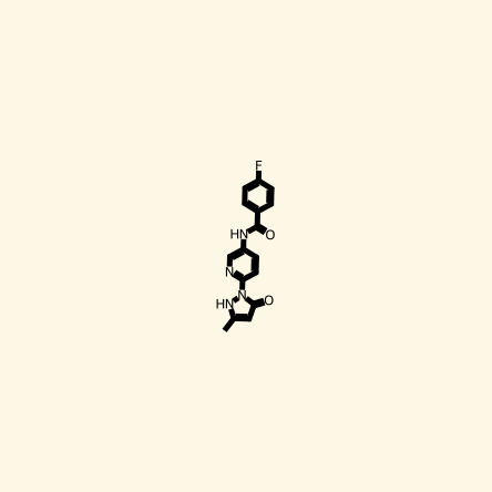 Cc1cc(=O)n(-c2ccc(NC(=O)c3ccc(F)cc3)cn2)[nH]1